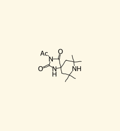 CC(=O)N1C(=O)NC2(CC(C)(C)NC(C)(C)C2)C1=O